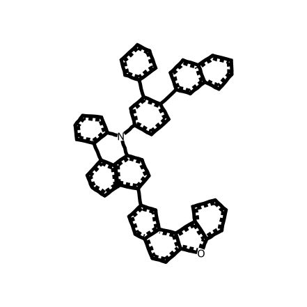 c1ccc(-c2cc(N(c3ccc(-c4ccc5ccc6oc7ccccc7c6c5c4)cc3)c3ccccc3-c3ccccc3)ccc2-c2ccc3ccccc3c2)cc1